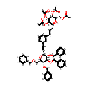 CC(=O)OC[C@H]1O[C@H](C/C=C/c2cccc(C#C[C@H]3O[C@H](COCc4ccccc4)[C@@H](OCc4ccccc4)[C@H](OCc4ccccc4)[C@@H]3OCc3ccccc3)c2)[C@@H](OC(C)=O)[C@@H](OC(C)=O)[C@@H]1OC(C)=O